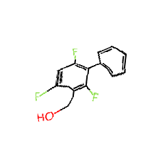 OCc1c(F)cc(F)c(-c2ccccc2)c1F